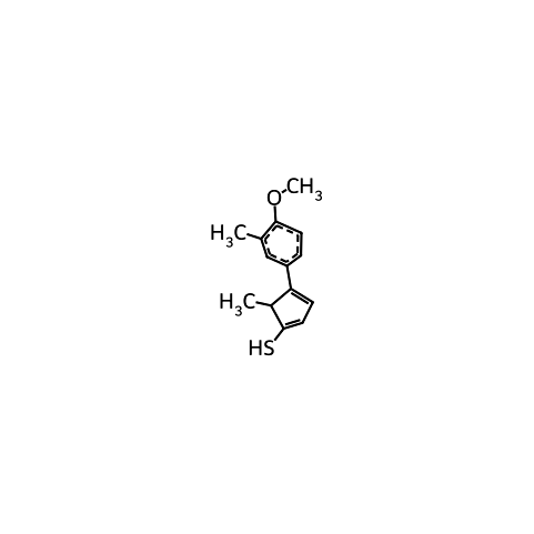 COc1ccc(C2=CC=C(S)C2C)cc1C